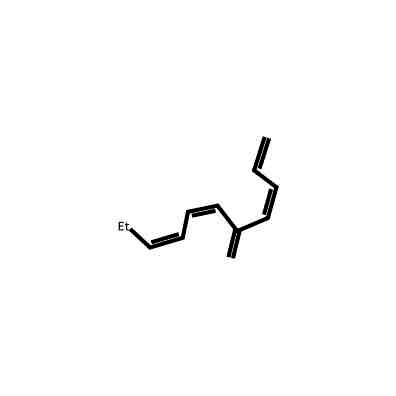 C=C/C=C\C(=C)/C=C\C=C/CC